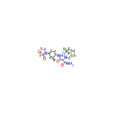 NC(=O)[C@H](C(=O)Nc1ccc(N2CCOCC2=O)cc1F)N(CC1CCC1)CC(F)(F)F